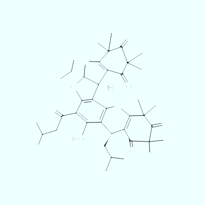 CC(C)CC(=O)c1c(O)c2c(c3c1O[C@@]1(C(C)C)OC4=C(C(=O)C(C)(C)C(=O)C4(C)C)[C@@H]31)OC1=C(C(=O)C(C)(C)C(=O)C1(C)C)[C@H]2CC(C)C